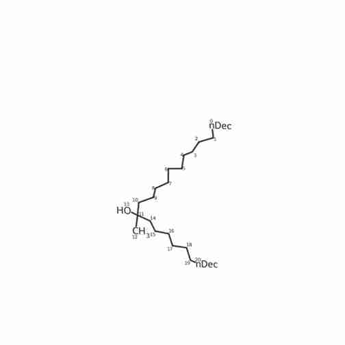 CCCCCCCCCCCCCCCCCCCCC(C)(O)CCCCCCCCCCCCCCCC